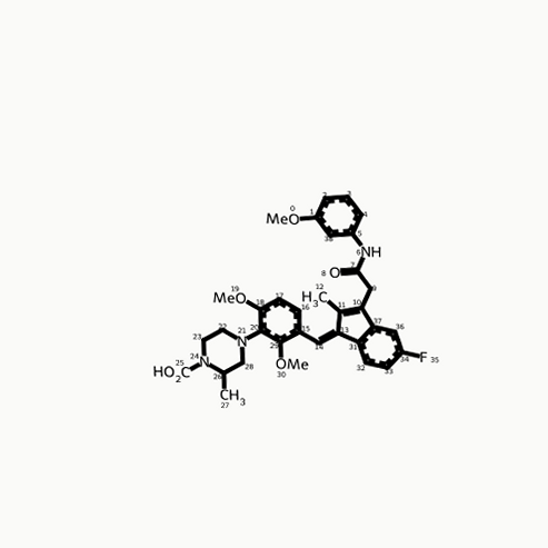 COc1cccc(NC(=O)CC2=C(C)C(=Cc3ccc(OC)c(N4CCN(C(=O)O)C(C)C4)c3OC)c3ccc(F)cc32)c1